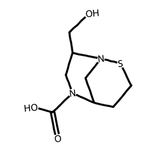 O=C(O)N1CC(CO)N2CC1CCS2